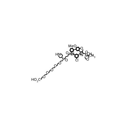 COc1cc2c(cc1-c1cccc(NC(=O)CCC(=O)N(CCOCCOCCOCCOCCOCCC(=O)O)C3CCNCC3)c1)-c1c(c(C(=O)N3CCOCC3(C)C)nn1-c1cc(Cl)cc(Cl)c1)CO2